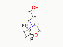 CC[C@]12CC[C@@H]1OCCN2CCCO